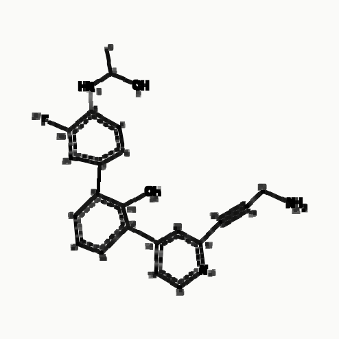 CC(O)Nc1ccc(-c2cccc(-c3ccnc(C#CCN)c3)c2O)cc1F